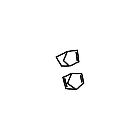 C1=CC2C=CC1C2.C1=CC2CCC1C2